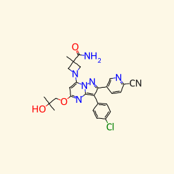 CC(C)(O)COc1cc(N2CC(C)(C(N)=O)C2)n2nc(-c3ccc(C#N)nc3)c(-c3ccc(Cl)cc3)c2n1